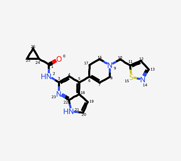 O=C(Nc1cc(C2=CCN(Cc3ccns3)CC2)c2cc[nH]c2n1)C1CC1